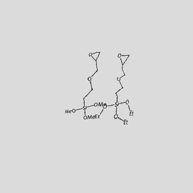 CCO[Si](CCOCC1CO1)(OCC)OCC.CO[Si](CCOCC1CO1)(OC)OC